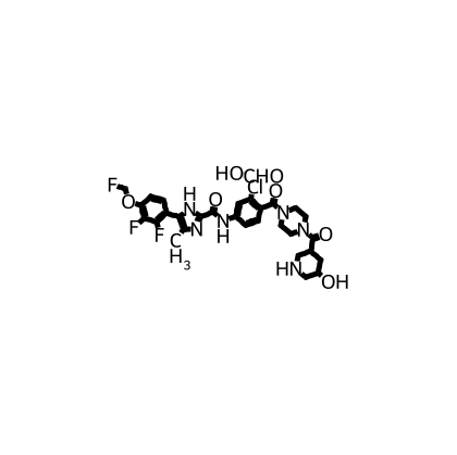 Cc1nc(C(=O)Nc2ccc(C(=O)N3CCN(C(=O)C4CNCC(O)C4)CC3)c(Cl)c2)[nH]c1-c1ccc(OCF)c(F)c1F.O=CO